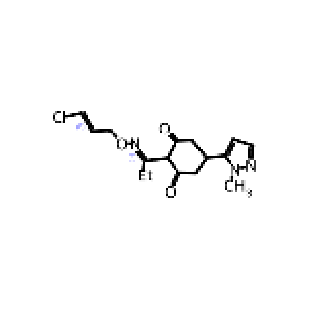 CC/C(=N\OC/C=C/Cl)C1C(=O)CC(c2ccnn2C)CC1=O